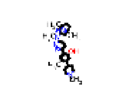 Cc1cc(-c2ccc(N(C)[C@@H]3C[C@]4(C)CC[C@](C)(C3)N4)nn2)c(O)cc1C1=CCN(C)C=C1